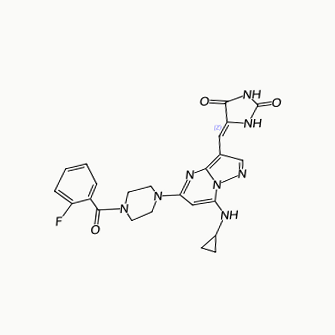 O=C1NC(=O)/C(=C/c2cnn3c(NC4CC4)cc(N4CCN(C(=O)c5ccccc5F)CC4)nc23)N1